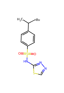 CCCCC(C)c1ccc(S(=O)(=O)Nc2nncs2)cc1